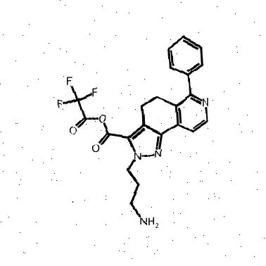 NCCCn1nc2c(c1C(=O)OC(=O)C(F)(F)F)CCc1c-2ccnc1-c1ccccc1